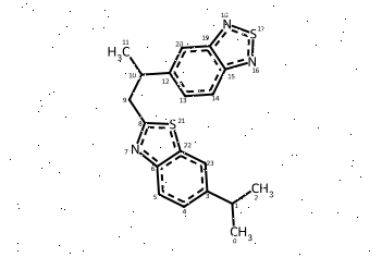 CC(C)c1ccc2nc(CC(C)c3ccc4nsnc4c3)sc2c1